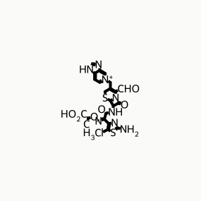 C[C@H](O/N=C(\C(=O)NC1C(=O)N2C(C=O)=C(C[n+]3ccc4[nH]cnc4c3)CSC12)c1nc(N)sc1Cl)C(=O)O